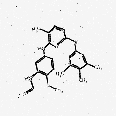 COc1ccc(Nc2nc(Nc3cc(C)c(C)c(C)c3)ncc2C)cc1NC=O